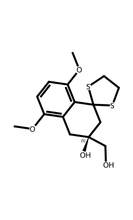 COc1ccc(OC)c2c1C[C@@](O)(CO)CC21SCCS1